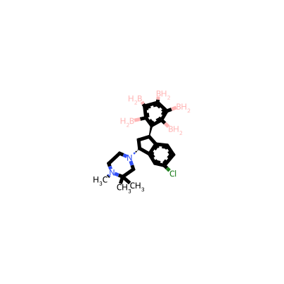 Bc1c(B)c(B)c([C@@H]2C[C@@H](N3CCN(C)C(C)(C)C3)c3cc(Cl)ccc32)c(B)c1B